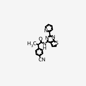 CC(C(=O)Nc1nc(-c2ccccn2)nc2sccc12)c1ccc(C#N)cc1